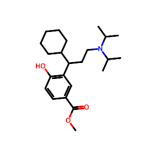 COC(=O)c1ccc(O)c(C(CCN(C(C)C)C(C)C)C2CCCCC2)c1